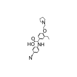 CCc1cc(C(Nc2ccc(C#N)cc2)C(=O)O)ccc1OCCN1CCCC1